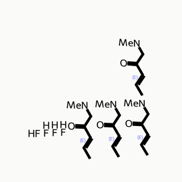 C/C=C/C(=O)CNC.C/C=C/C(=O)CNC.C/C=C/C(=O)CNC.C/C=C/C(=O)CNC.F.F.F.F